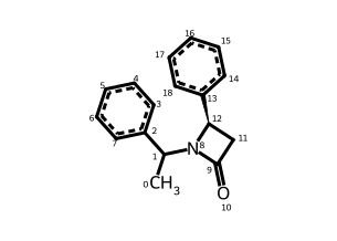 CC(c1ccccc1)N1C(=O)C[C@@H]1c1ccccc1